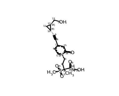 CC(CCn1ccc(C#C[C@@H]2C[C@H]2CO)cc1=O)(C(=O)NO)S(C)(=O)=O